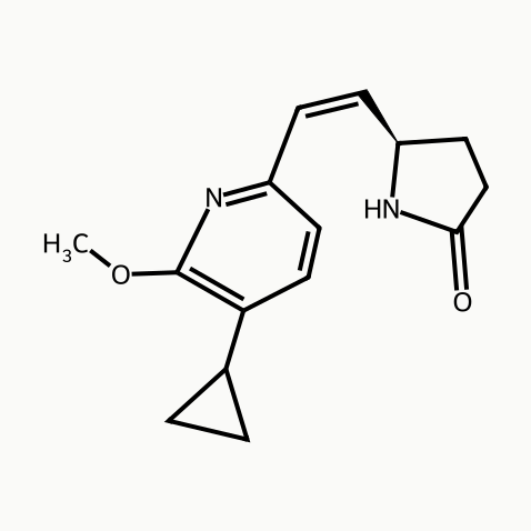 COc1nc(/C=C\[C@H]2CCC(=O)N2)ccc1C1CC1